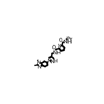 Cc1nc2ccc(N3C=C(CNC(=O)c4cccc(C(=O)NC(C)C)n4)CN3)cc2n1C